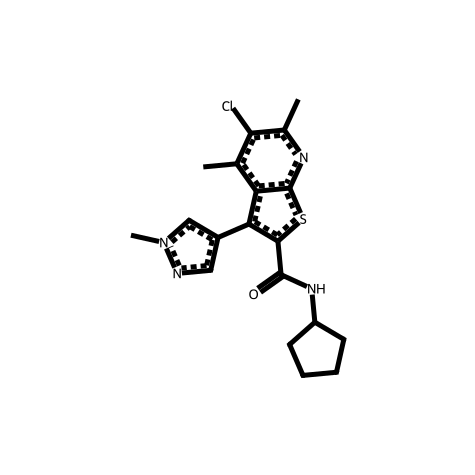 Cc1nc2sc(C(=O)NC3CCCC3)c(-c3cnn(C)c3)c2c(C)c1Cl